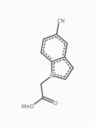 COC(=O)Cn1ccc2cc(C#N)ccc21